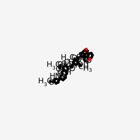 C1=CC2C3C=CC(C3)C2C1.C1=Cc2ccccc2ON1.COC(=O)[C@H]1[C@H]2C[C@@H]3c4[nH]c5cc(OC)ccc5c4CCN3C[C@H]2C[C@@H](OC(=O)c2cc(OC)c(OC)c(OC)c2)[C@@H]1OC